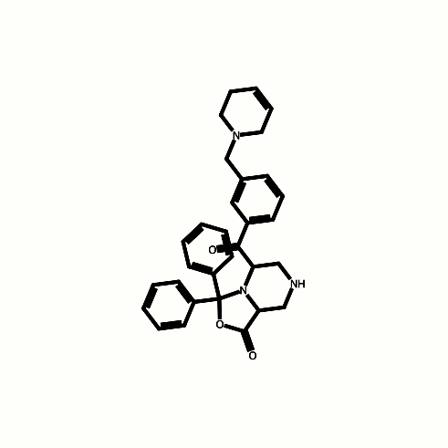 O=C1OC(c2ccccc2)(c2ccccc2)N2C1CNCC2C(=O)c1cccc(CN2CC=CCC2)c1